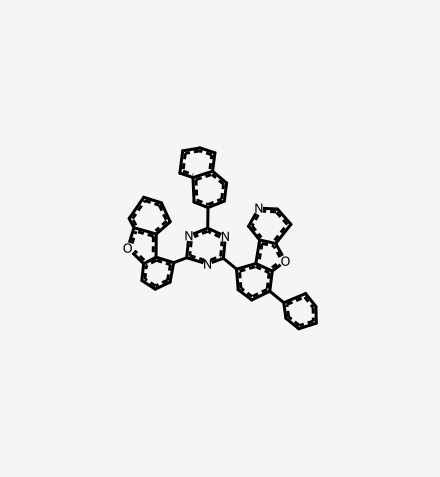 c1ccc(-c2ccc(-c3nc(-c4ccc5ccccc5c4)nc(-c4cccc5oc6ccccc6c45)n3)c3c2oc2ccncc23)cc1